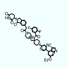 CCOc1cc(-c2ccc(N3CCC(CN4CCN(C(=O)Cc5ccc6c(c5)C(=O)N(C5CCC(=O)NC5=O)C6)CC4)(NC(=O)c4cc(F)ccc4F)CC3)nc2)c2c(C#N)cnn2c1